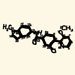 COc1cccnc1-c1ccc(C(=O)Nc2ccc3c(ccn3C)c2)cc1Cl